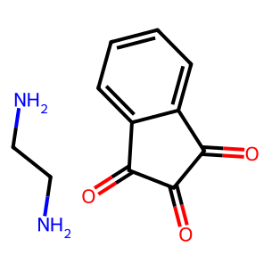 NCCN.O=c1c(=O)c2ccccc2c1=O